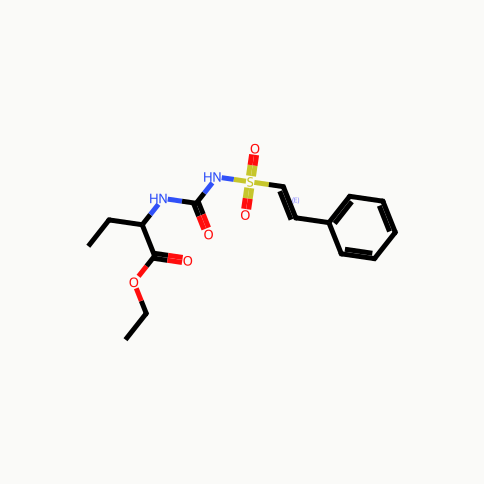 CCOC(=O)C(CC)NC(=O)NS(=O)(=O)/C=C/c1ccccc1